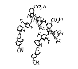 CC(=O)N1C[C@@H]2[C@H](n3c(Cc4cc(F)c(-c5cccc(OCc6ccc(C#N)cc6F)n5)cc4F)nc4ccc(C(=O)O)cc43)CO[C@@H]2C1.CC(=O)N1C[C@@H]2[C@H](n3c(Cc4cc(F)c(-c5cccc(OCc6ccc(C#N)cc6F)n5)cc4F)nc4ccc(C(=O)O)cc43)CO[C@@H]2C1